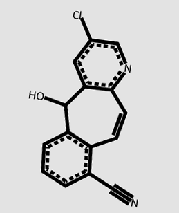 N#Cc1cccc2c1C=Cc1ncc(Cl)cc1C2O